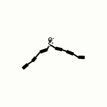 C#CC#CC#C[S+]([O-])C#CC#CC#C